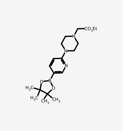 CCOC(=O)CN1CCN(c2ccc(B3OC(C)(C)C(C)(C)O3)cn2)CC1